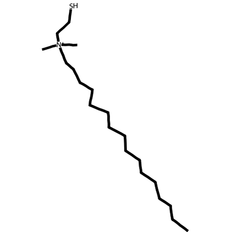 CCCCCCCCCCCCCCCC[N+](C)(C)CCS